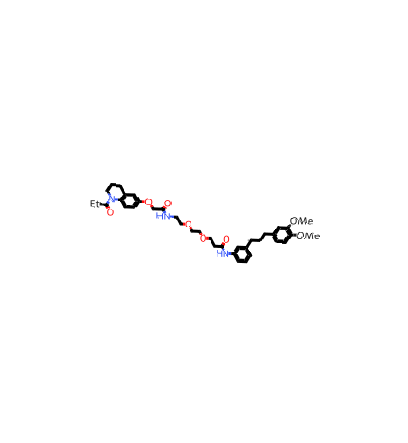 CCC(=O)N1CCCc2cc(OCC(=O)NCCOCCOCCC(=O)Nc3cccc([CH]CCc4ccc(OC)c(OC)c4)c3)ccc21